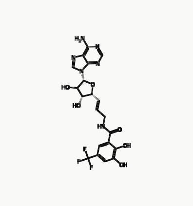 Nc1ncnc2c1ncn2[C@@H]1O[C@H](/C=C/CNC(=O)c2cc(C(F)(F)F)cc(O)c2O)[C@H](O)C1O